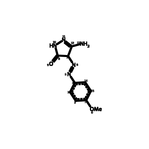 COc1ccc(N=NC2C(=O)NN=C2N)cc1